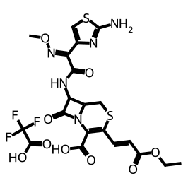 CCOC(=O)C=CC1=C(C(=O)O)N2C(=O)C(NC(=O)C(=NOC)c3csc(N)n3)C2CS1.O=C(O)C(F)(F)F